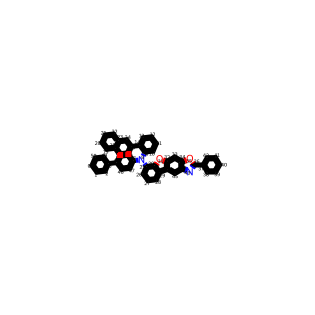 c1ccc(-c2ccc(N(c3ccccc3-c3ccc4ccccc4c3)c3cccc4c3oc3cc5oc(-c6ccccc6)nc5cc34)cc2)cc1